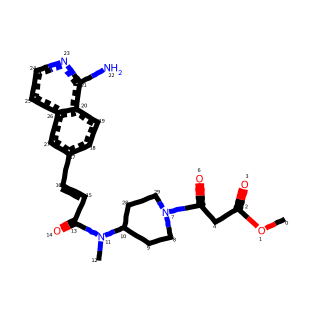 COC(=O)CC(=O)N1CCC(N(C)C(=O)/C=C/c2ccc3c(N)nccc3c2)CC1